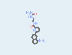 NC(=O)NCCNC(=O)c1cccc(-c2ccc3cccc(N)c3c2)n1